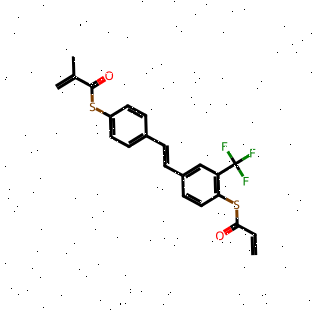 C=CC(=O)Sc1ccc(/C=C/c2ccc(SC(=O)C(=C)C)cc2)cc1C(F)(F)F